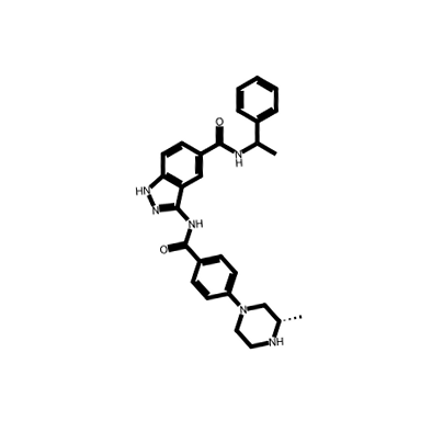 CC(NC(=O)c1ccc2[nH]nc(NC(=O)c3ccc(N4CCN[C@@H](C)C4)cc3)c2c1)c1ccccc1